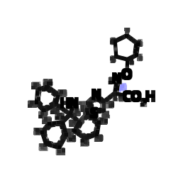 O=C(O)/C(=N\OC1C=CCCC1)c1csc(NC(c2ccccc2)(c2ccccc2)c2ccccc2)n1